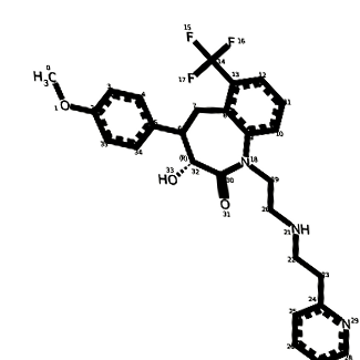 COc1ccc(C2Cc3c(cccc3C(F)(F)F)N(CCNCCc3ccccn3)C(=O)[C@@H]2O)cc1